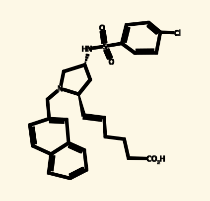 O=C(O)CCCC=C[C@@H]1C[C@@H](NS(=O)(=O)c2ccc(Cl)cc2)CN1Cc1ccc2ccccc2c1